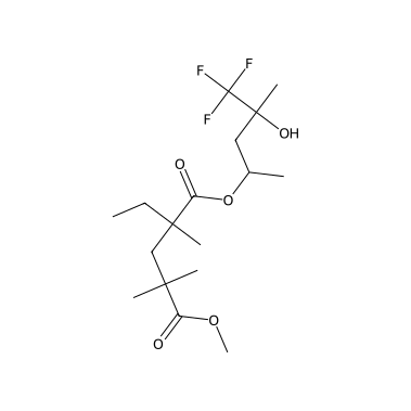 CCC(C)(CC(C)(C)C(=O)OC)C(=O)OC(C)CC(C)(O)C(F)(F)F